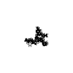 C=C[C@@H]1CC1(NC(=O)[C@@H]1C[C@@H](Oc2cc(-c3nc(C(C)C)cs3)nc3c(C)c(OC)ccc23)CN1C(=O)C(CC(=O)N1CCCC(F)(F)C1)C(C)(C)C)C(=O)NS(=O)(=O)C1CC1